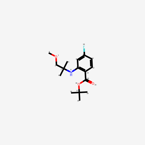 COCC(C)(C)Nc1cc(F)ccc1C(=O)OC(C)(C)C